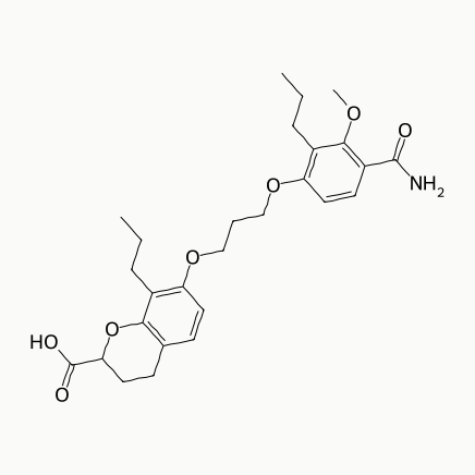 CCCc1c(OCCCOc2ccc(C(N)=O)c(OC)c2CCC)ccc2c1OC(C(=O)O)CC2